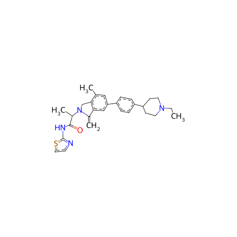 C=C1c2cc(-c3ccc(C4CCN(CC)CC4)cc3)cc(C)c2CN1C(C)C(=O)Nc1nccs1